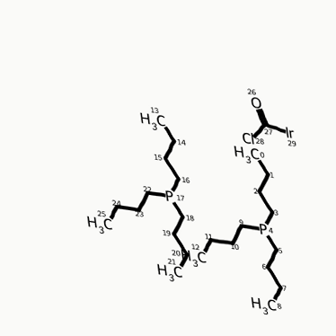 CCCCP(CCCC)CCCC.CCCCP(CCCC)CCCC.O=[C](Cl)[Ir]